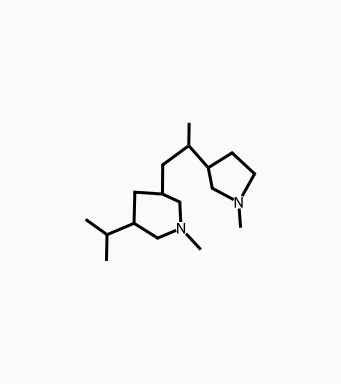 CC(C)C1CC(CC(C)C2CCN(C)C2)CN(C)C1